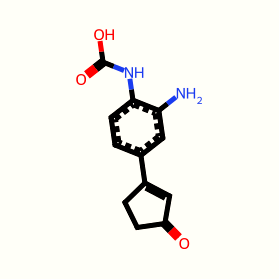 Nc1cc(C2=CC(=O)CC2)ccc1NC(=O)O